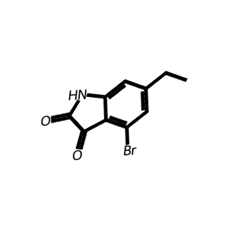 CCc1cc(Br)c2c(c1)NC(=O)C2=O